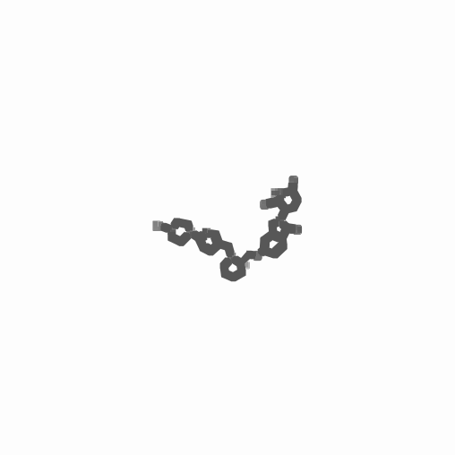 CCN1CCN(c2ccc(CN3CCCC[C@@H]3COc3ccc4c(c3)CN(C3CCC(=O)NC3=O)C4=O)cn2)CC1